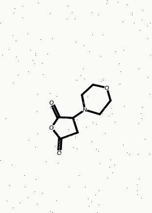 O=C1CC(N2CCOCC2)C(=O)O1